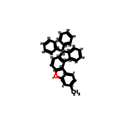 Cc1ccc2c(c1)oc1ccc3c(c12)-c1ccccc1[Si]3(c1ccccc1)c1ccccc1